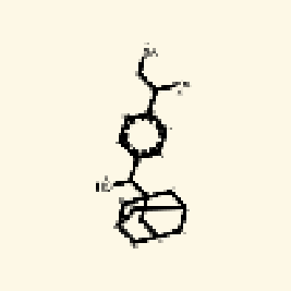 CC(C)(C)CC(c1ccc(C(O)C23CC4CC(CC(C4)C2)C3)cc1)C(C)(C)C